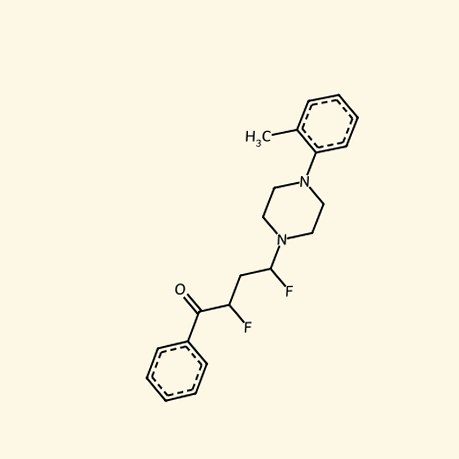 Cc1ccccc1N1CCN(C(F)CC(F)C(=O)c2ccccc2)CC1